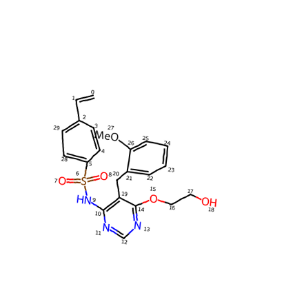 C=Cc1ccc(S(=O)(=O)Nc2ncnc(OCCO)c2Cc2ccccc2OC)cc1